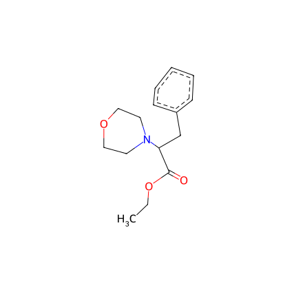 CCOC(=O)C(Cc1ccccc1)N1CCOCC1